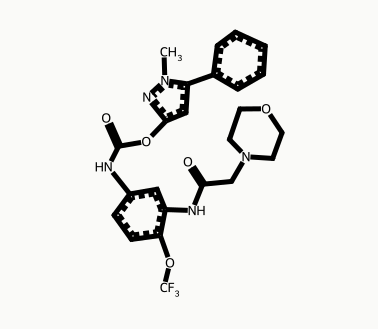 Cn1nc(OC(=O)Nc2ccc(OC(F)(F)F)c(NC(=O)CN3CCOCC3)c2)cc1-c1ccccc1